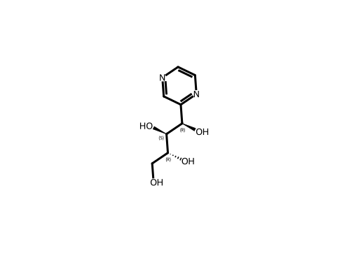 OC[C@@H](O)[C@@H](O)[C@H](O)c1cnccn1